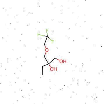 CCC(O)(CO)COCC(F)(F)F